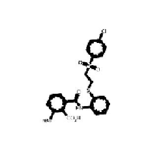 CCCCc1cccc(C(=O)Nc2ccccc2SCCS(=O)(=O)c2ccc(Cl)cc2)c1C(=O)O